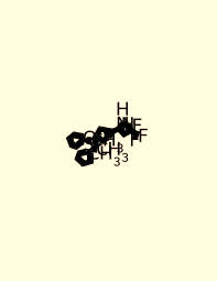 CC(C)(C)[Si](OC1CC2C(C1)C2c1cc(C(F)(F)F)n[nH]1)(c1ccccc1)c1ccccc1